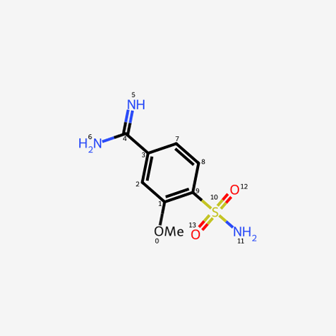 COc1cc(C(=N)N)ccc1S(N)(=O)=O